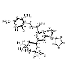 Cc1cc(C)c(CNC(=N)c2cc(C3=CC(C)(C)NC(C)(C)C3)nc3c2cnn3C2CCCC2)c(=O)[nH]1